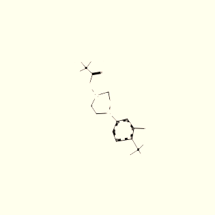 CC(C)(C)C(=O)ON1CCN(c2ccc(C(F)(F)F)c(F)c2)CC1